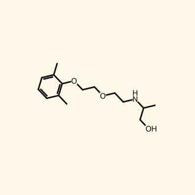 Cc1cccc(C)c1OCCOCCNC(C)CO